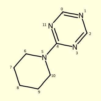 [c]1ncnc(N2CCCCC2)n1